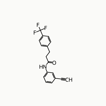 C#Cc1cccc(NC(=O)CCc2ccc(C(F)(F)F)cc2)c1